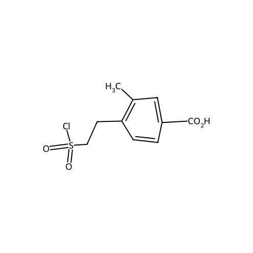 Cc1cc(C(=O)O)ccc1CCS(=O)(=O)Cl